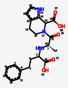 C[C@H](NC(CCc1ccccc1)C(=O)O)C(=O)N1CCc2cc[nH]c2C1C(=O)O